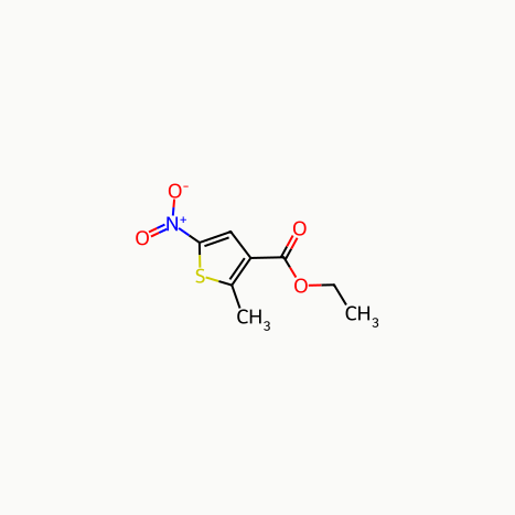 CCOC(=O)c1cc([N+](=O)[O-])sc1C